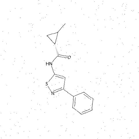 CC1C[C@H]1C(=O)Nc1cc(-c2ccccc2)ns1